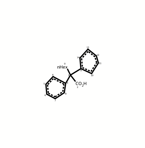 CCCCCCC(C(=O)O)(c1ccccc1)c1ccccc1